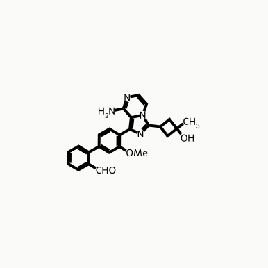 COc1cc(-c2ccccc2C=O)ccc1-c1nc(C2CC(C)(O)C2)n2ccnc(N)c12